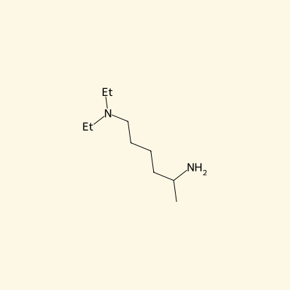 CCN(CC)CCCCC(C)N